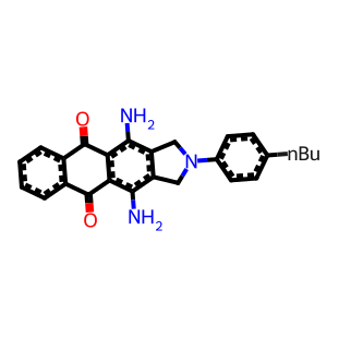 CCCCc1ccc(N2Cc3c(N)c4c(c(N)c3C2)C(=O)c2ccccc2C4=O)cc1